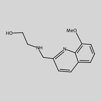 COc1cccc2ccc(CNCCO)nc12